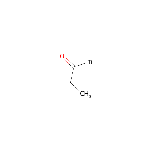 CC[C](=O)[Ti]